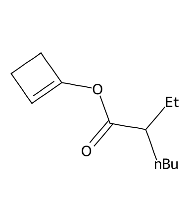 CCCCC(CC)C(=O)OC1=CCC1